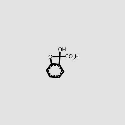 O=C(O)C1(O)Oc2ccccc21